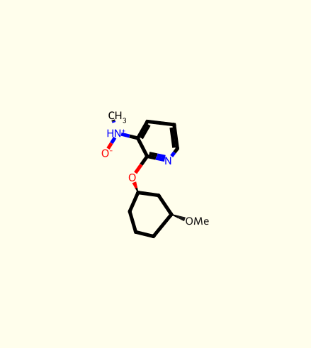 CO[C@H]1CCC[C@@H](Oc2ncccc2[NH+](C)[O-])C1